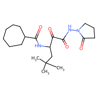 CC(C)(C)CC(NC(=O)C1CCCCCC1)C(=O)C(=O)NN1CCCC1=O